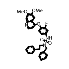 COc1cc2nccc(Oc3ccc(NS(=O)(=O)N(CCc4ccccc4)Cc4ccccc4)cc3F)c2cc1OC